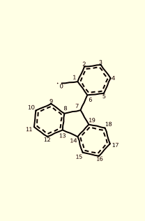 [CH2]c1ccccc1C1c2ccccc2-c2ccccc21